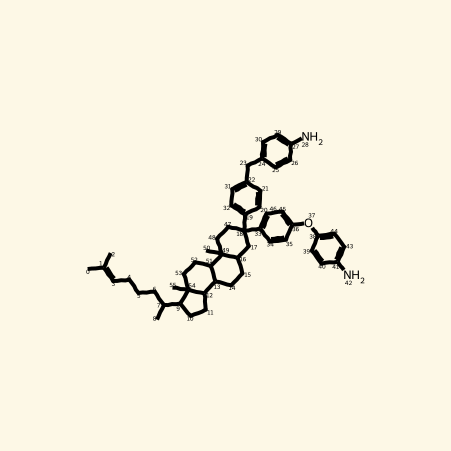 CC(C)=CCCCC(C)C1CCC2C3CCC4CC(c5ccc(Cc6ccc(N)cc6)cc5)(c5ccc(Oc6ccc(N)cc6)cc5)CCC4(C)C3CCC12C